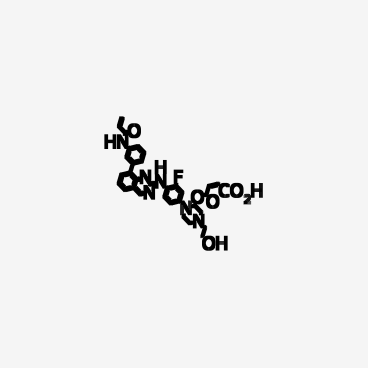 C=CC(=O)Nc1cccc(-c2cccc3cnc(Nc4ccc(N5CCN(CCO)CC5OC(=O)/C=C\C(=O)O)cc4F)nc23)c1